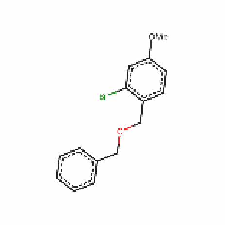 COc1ccc(COCc2ccccc2)c(Br)c1